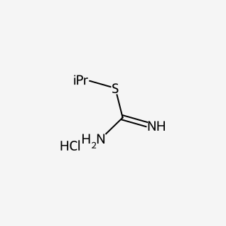 CC(C)SC(=N)N.Cl